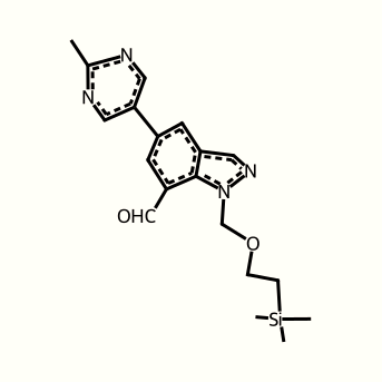 Cc1ncc(-c2cc(C=O)c3c(cnn3COCC[Si](C)(C)C)c2)cn1